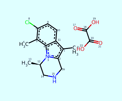 Cc1c2n(c3c(C)c(Cl)ccc13)[C@H](C)CNC2.O=C(O)C(=O)O